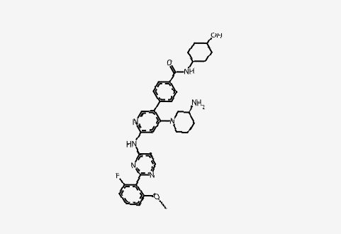 COc1cccc(F)c1-c1nccc(Nc2cc(N3CCC[C@H](N)C3)c(-c3ccc(C(=O)NC4CCC(O)CC4)cc3)cn2)n1